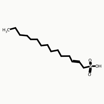 CCCCCCCCCCCCC=CCS(=O)(=O)O